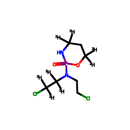 [2H]C1([2H])CC([2H])([2H])OP(=O)(N(CCCl)C([2H])([2H])C([2H])([2H])Cl)N1